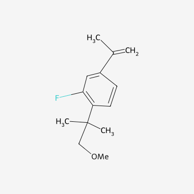 C=C(C)c1ccc(C(C)(C)COC)c(F)c1